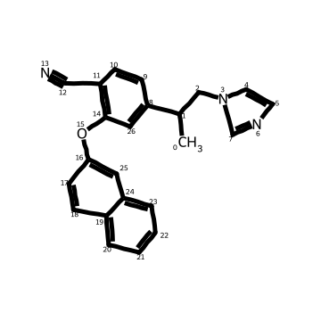 CC(Cn1ccnc1)c1ccc(C#N)c(Oc2ccc3ccccc3c2)c1